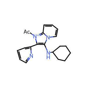 CC(=O)[n+]1c(-c2ccccn2)c(NC2CCCCC2)n2ccccc21